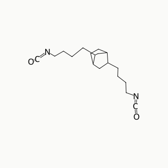 O=C=NCCCCC1CC2CCC1CC2CCCCN=C=O